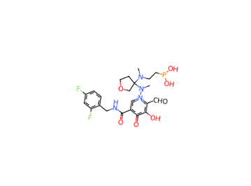 CN(CCP(O)O)C1(N(C)n2cc(C(=O)NCc3ccc(F)cc3F)c(=O)c(O)c2C=O)CCOC1